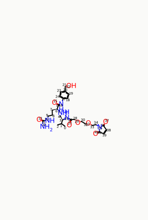 CC(C)[C@@H](CN[C@@H](CCCNC(N)=O)C(=O)Nc1ccc(CO)cc1)NC(=O)COCCOCCN1C(=O)C=CC1=O